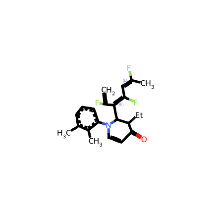 C=C(F)/C(=C(F)\C=C(/C)F)C1C(CC)C(=O)C=CN1c1cccc(C)c1C